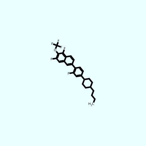 CCCCC1CCC(c2ccc(-c3ccc4c(F)c(OC(F)(F)F)c(F)cc4c3)c(F)c2)CC1